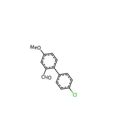 COc1ccc(-c2ccc(Cl)cc2)c(C=O)c1